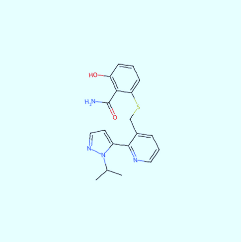 CC(C)n1nccc1-c1ncccc1CSc1cccc(O)c1C(N)=O